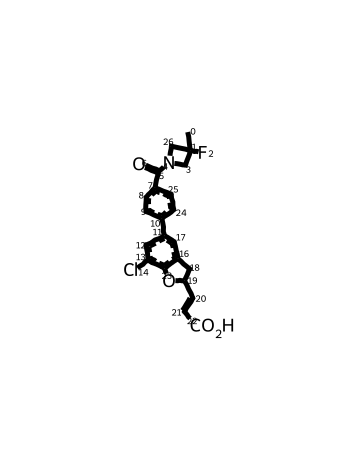 CC1(F)CN(C(=O)c2ccc(-c3cc(Cl)c4c(c3)CC(C=CC(=O)O)O4)cc2)C1